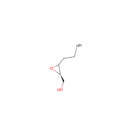 CCCCCC1O[C@@H]1CO